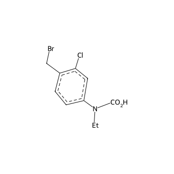 CCN(C(=O)O)c1ccc(CBr)c(Cl)c1